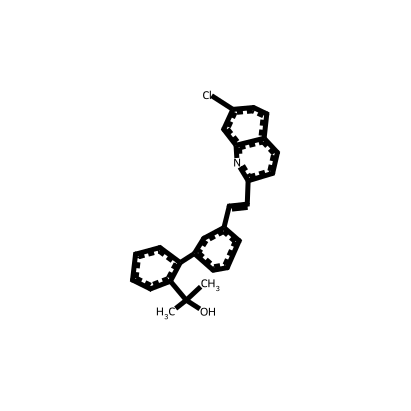 CC(C)(O)c1[c]cccc1-c1cccc(C=Cc2ccc3ccc(Cl)cc3n2)c1